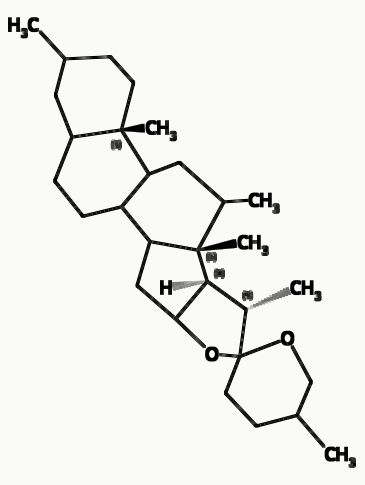 CC1CCC2(OC1)OC1CC3C4CCC5CC(C)CC[C@]5(C)C4CC(C)[C@]3(C)[C@H]1[C@@H]2C